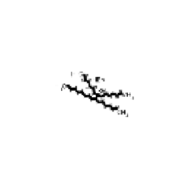 Br.CCCCCCCCCC(CCCCCCC)C(P)(CCCCCCC)CCCCCCC